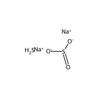 O=S([O-])[O-].S.[Na+].[Na+]